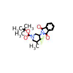 CC1CN(C(=O)OC(C)(C)C)CC(N2C(=O)c3ccccc3C2=O)C1(F)F